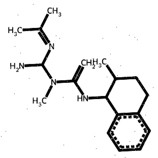 C=C(NC1c2ccccc2CCC1C)N(C)C(N)N=C(C)C